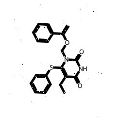 C=C(OCn1c(Sc2ccccc2)c(CC)c(=O)[nH]c1=O)c1ccccc1